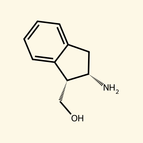 N[C@H]1Cc2ccccc2[C@H]1CO